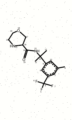 Cc1cc(C(F)(F)F)cc(C(C)(C)NC(=O)C2COCCN2)c1